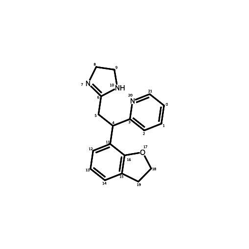 c1ccc(C(CC2=NCCN2)c2cccc3c2OCC3)nc1